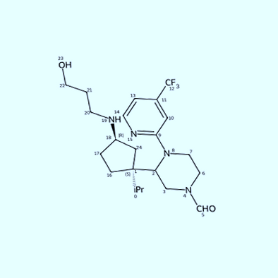 CC(C)[C@]1(C2CN(C=O)CCN2c2cc(C(F)(F)F)ccn2)CC[C@@H](NCCCO)C1